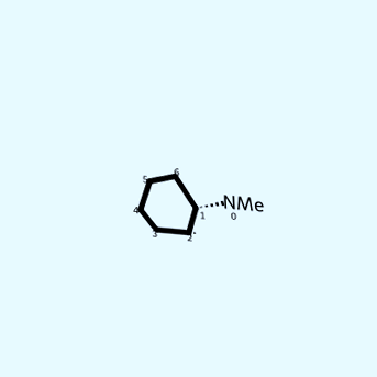 CN[C@@H]1[CH]CCCC1